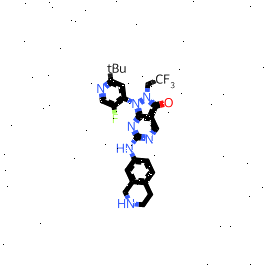 CC(C)(C)c1cc(-n2c3nc(Nc4ccc5c(c4)CNCC5)ncc3c(=O)n2CC(F)(F)F)c(F)cn1